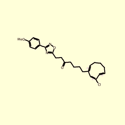 COc1ccc(-c2noc(CCC(=O)CCCCC3=C/CCC/C=C/C(Cl)=C\3)n2)cc1